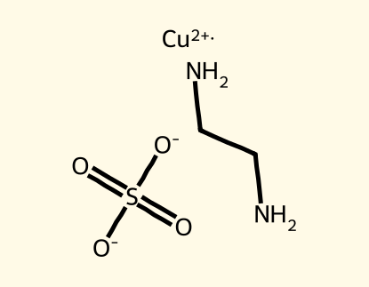 NCCN.O=S(=O)([O-])[O-].[Cu+2]